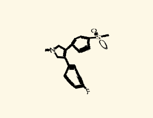 CN1CC(c2ccc(F)cc2)=C(c2ccc(S(C)(=O)=O)cc2)C1